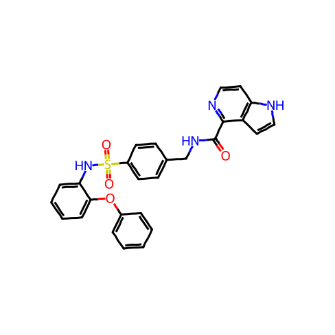 O=C(NCc1ccc(S(=O)(=O)Nc2ccccc2Oc2ccccc2)cc1)c1nccc2[nH]ccc12